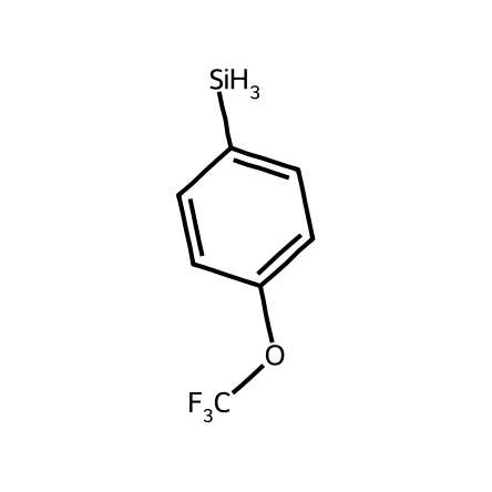 FC(F)(F)Oc1ccc([SiH3])cc1